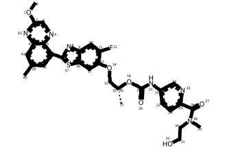 COc1cnc2c(-c3nc4cc(F)c(OC[C@@H](C)OC(=O)Nc5ccc(C(=O)N(C)CCO)nc5)cc4s3)cc(C)cc2n1